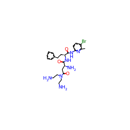 Cc1nc(NC(=O)[C@H](CCc2ccccc2)NC(=O)[C@@H](N)CC(=O)N(CCN)CCN)ccc1Br